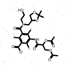 CC(=O)OCC(OC(C)=O)C(=O)Nc1c(I)c(C(=O)Cl)c(I)c(C(=O)N(CCO)CC2COC(C)(C)O2)c1I